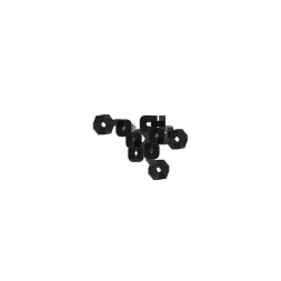 C[C@H]1[C@H](OCc2ccccc2)[C@@H](OCc2ccccc2)C(=O)O[C@@H]1COCc1ccccc1